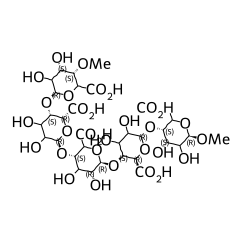 CO[C@@H]1OC(C(=O)O)[C@@H](O[C@@H]2O[C@@H](C(=O)O)[C@@H](O[C@@H]3OC(C(=O)O)[C@@H](O[C@@H]4O[C@@H](C(=O)O)[C@@H](O[C@@H]5OC(C(=O)O)[C@@H](OC)[C@@H](O)C5O)C(O)C4O)C(O)[C@H]3O)C(O)C2O)[C@@H](O)C1O